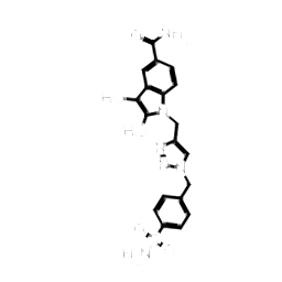 NC(=O)c1ccc2c(c1)c(O)c(O)n2Cc1cn(Cc2ccc(S(N)(=O)=O)cc2)nn1